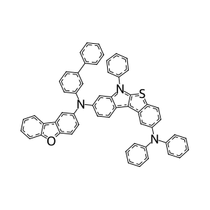 c1ccc(-c2cccc(N(c3ccc4oc5ccccc5c4c3)c3ccc4c5c6cc(N(c7ccccc7)c7ccccc7)ccc6sc5n(-c5ccccc5)c4c3)c2)cc1